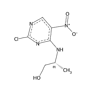 C[C@H](CO)Nc1nc(Cl)ncc1[N+](=O)[O-]